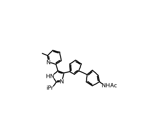 CC(=O)Nc1ccc(-c2cccc(-c3nc(C(C)C)[nH]c3-c3cccc(C)n3)c2)cc1